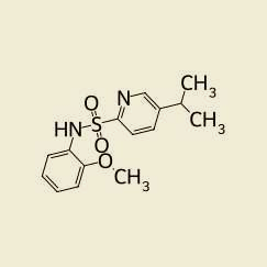 COc1ccccc1NS(=O)(=O)c1ccc(C(C)C)cn1